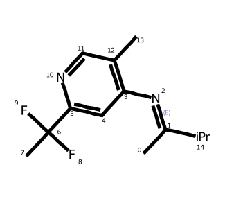 C/C(=N\c1cc(C(C)(F)F)ncc1C)C(C)C